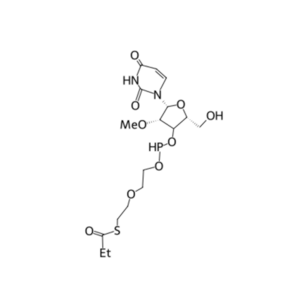 CCC(=O)SCCOCCOPOC1[C@@H](CO)O[C@@H](n2ccc(=O)[nH]c2=O)[C@H]1OC